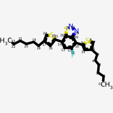 CCCCCCc1csc(-c2c(F)cc(-c3cc(CCCCCC)cs3)c3snnc23)c1